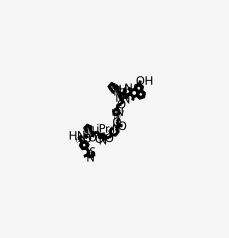 Cc1ncsc1-c1ccc([C@H](C)NC(=O)[C@@H]2CCCN2C(=O)C(c2cc(OC3CCN(C(=O)OC[C@@H]4CCC(COc5nc(N6CC7CCC(C6)N7)c6cnc7c(c6n5)C(C)c5cccc6cc(O)cc-7c56)N4C)CC3)no2)C(C)C)cc1